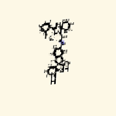 O=C1C(c2ccccc2F)=NC2(CCCCC2)N1C/C=C/c1ccc2c(c1)CC1(C2)C(=O)NC2=C1C=CCN2